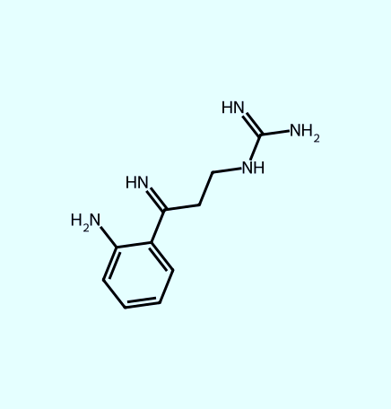 N=C(N)NCCC(=N)c1ccccc1N